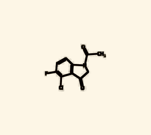 CC(=O)N1CC(=O)c2c1ccc(F)c2Cl